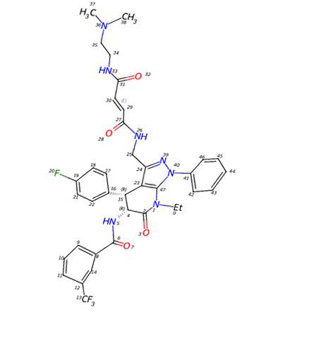 CCN1C(=O)[C@H](NC(=O)c2cccc(C(F)(F)F)c2)[C@H](c2ccc(F)cc2)c2c(CNC(=O)/C=C/C(=O)NCCN(C)C)nn(-c3ccccc3)c21